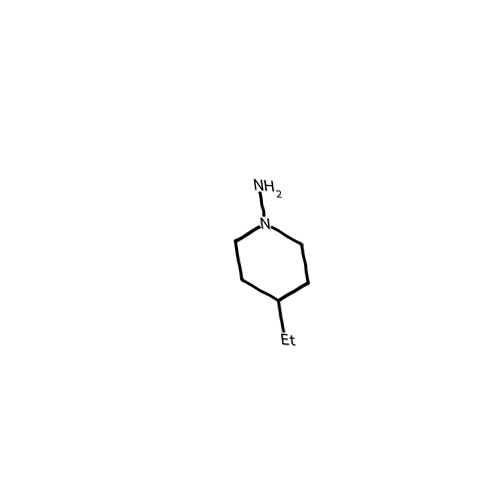 CCC1CCN(N)CC1